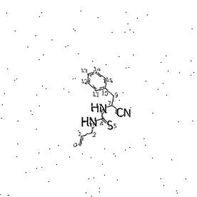 C=CCNC(=S)NC(C#N)Cc1ccccc1